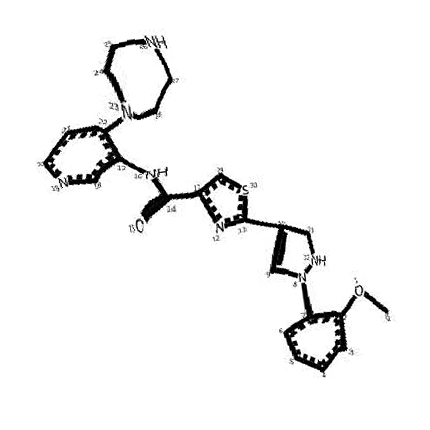 COc1ccccc1N1C=C(c2nc(C(=O)Nc3cnccc3N3CCNCC3)cs2)CN1